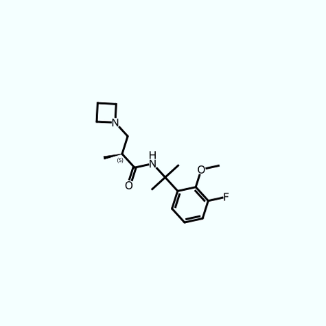 COc1c(F)cccc1C(C)(C)NC(=O)[C@@H](C)CN1CCC1